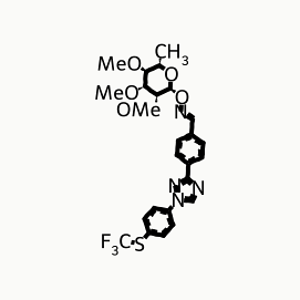 CO[C@@H]1[C@@H](OC)[C@H](C)O[C@@H](O/N=C/c2ccc(-c3ncn(-c4ccc(SC(F)(F)F)cc4)n3)cc2)[C@@H]1OC